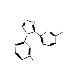 Fc1cccc(-n2cnnc2-c2cccc(Br)n2)c1